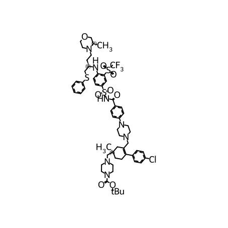 C[C@@H]1COCCN1CC[C@H](CSc1ccccc1)Nc1ccc(S(=O)(=O)NC(=O)c2ccc(N3CCN(CC4=C(c5ccc(Cl)cc5)CC[C@@](C)(CN5CCN(C(=O)OC(C)(C)C)CC5)C4)CC3)cc2)cc1S(=O)(=O)C(F)(F)F